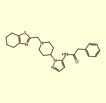 O=C(Cc1ccccc1)Nc1ccnn1C1CCN(Cc2nc3c(s2)CCCC3)CC1